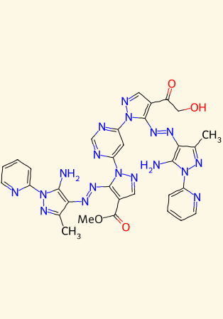 COC(=O)c1cnn(-c2cc(-n3ncc(C(=O)CO)c3/N=N/c3c(C)nn(-c4ccccn4)c3N)ncn2)c1/N=N/c1c(C)nn(-c2ccccn2)c1N